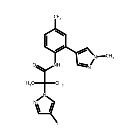 Cn1cc(-c2cc(C(F)(F)F)ccc2NC(=O)C(C)(C)n2cc(I)cn2)cn1